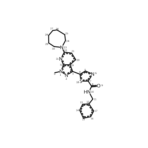 Cn1nc(-c2cnc(C(=O)NCc3ccccc3)s2)c2ccc(N3CCCCCCC3)nc21